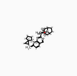 C=C1C=Cc2cnc(NC3CC4CCC(C3)N4S(C)(=O)=O)nc2N1[C@H]1CCCC12CC2